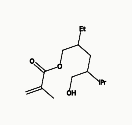 C=C(C)C(=O)OCC(CC)CC(CO)C(C)C